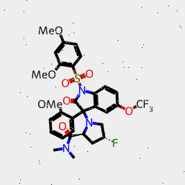 COc1ccc(S(=O)(=O)N2C(=O)C(c3ccccc3OC)(N3C[C@H](F)C[C@H]3C(=O)N(C)C)c3cc(OC(F)(F)F)ccc32)c(OC)c1